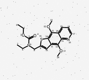 CCOC(=O)N(CC)Cc1cc2c(OC)c3ncccc3c(OC)c2s1